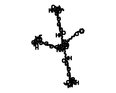 CC[C@H]1O[C@@H](OCCOCCOCCOCC(=O)NCCCC[C@H](NC(=O)COCCOCCOCCO[C@@H]2O[C@H](CC)[C@H](C)[C@H](C)[C@H]2NC(C)=O)C(=O)N[C@@H](CCCCNC(=O)COCCOCCOCCO[C@@H]2O[C@H](CC)[C@H](C)[C@H](C)[C@H]2NC(C)=O)C(=O)NCCCCCCOCc2ccccc2)[C@H](NC(C)=O)[C@@H](C)[C@H]1C